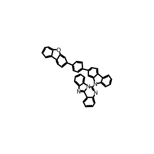 c1ccc2c(c1)nc(-n1c3ccccc3c3ccc(-c4ccc(-c5ccc6c(c5)oc5ccccc56)cc4)cc31)n1c3ccccc3nc21